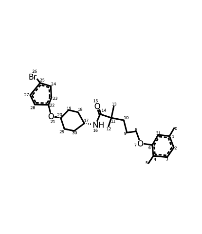 Cc1ccc(C)c(OCCCC(C)(C)C(=O)N[C@H]2CC[C@H](Oc3ccc(Br)cc3)CC2)c1